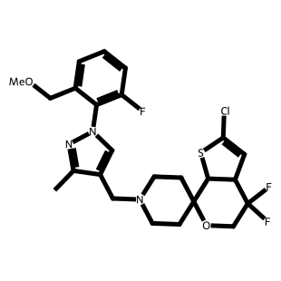 COCc1cccc(F)c1-n1cc(CN2CCC3(CC2)OCC(F)(F)C2C=C(Cl)SC23)c(C)n1